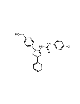 O=C(Nc1ccc(Cl)cc1)Nc1cc(-c2ccccc2)nn1-c1ccc(CO)cc1